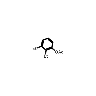 CCc1cc[c]c(OC(C)=O)c1CC